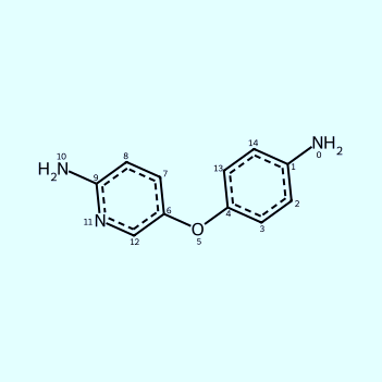 Nc1ccc(Oc2ccc(N)nc2)cc1